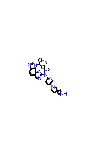 CC(C)n1cnc2ccc3cnc(Nc4ccc(N5CCC6(CNC6)C5)cn4)nc3c21